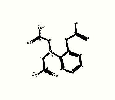 C=C(C)Cc1ccccc1N(CC(=O)O)CC(=O)O